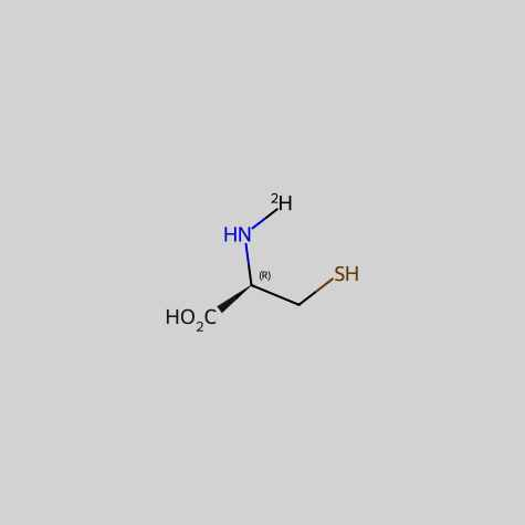 [2H]N[C@@H](CS)C(=O)O